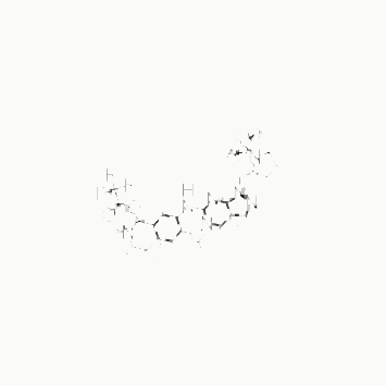 COc1cc2c(cc1Nc1ncc3cnn(CC4CCCN4S(C)(=O)=O)c3n1)[C@@H](OC(=O)C(F)(F)F)N(C)CC2